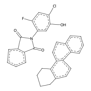 O=C1c2ccccc2C(=O)N1c1cc(O)c(Cl)cc1F.c1ccc2c(c1)ccc1c3c(ccc12)CCCC3